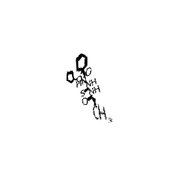 CCC(=O)NC(=S)NNC(=O)C1(OC2CCCC2)C=CC=CC1